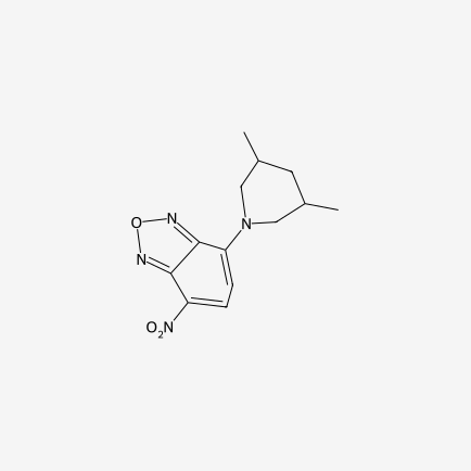 CC1CC(C)CN(c2ccc([N+](=O)[O-])c3nonc23)C1